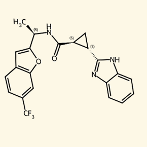 C[C@@H](NC(=O)[C@H]1C[C@@H]1c1nc2ccccc2[nH]1)c1cc2ccc(C(F)(F)F)cc2o1